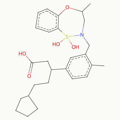 Cc1ccc(C(CCC2CCCC2)CC(=O)O)cc1CN1CC(C)Oc2ccccc2S1(O)O